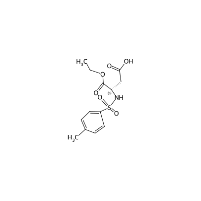 CCOC(=O)[C@H](CC(=O)O)NS(=O)(=O)c1ccc(C)cc1